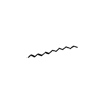 [CH2]C=CC=CC=CCCCCCCCC